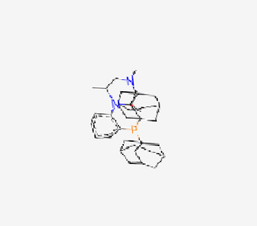 CC1CN(C)CC(C)N1c1ccccc1P(C12CC3CC(CC(C3)C1)C2)C12CC3CC(CC(C3)C1)C2